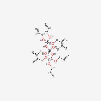 C=CCO[Si](OCC=C)(OCC=C)O[Si](OCC=C)(OCC=C)O[Si](OCC=C)(OCC=C)OCC=C